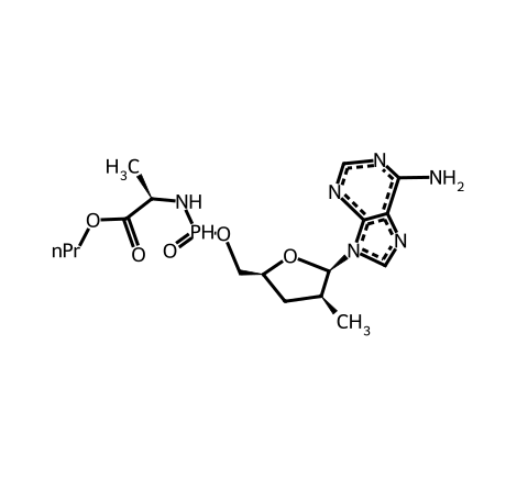 CCCOC(=O)[C@@H](C)N[PH](=O)OC[C@@H]1C[C@H](C)[C@H](n2cnc3c(N)ncnc32)O1